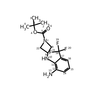 CC(C)(C)OC(=O)N1CC(Nc2c(N)cccc2C(F)(F)F)C1